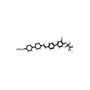 CCCCCC1CCC(C2CCC(C=Cc3ccc(-c4ccc(OC(F)(F)C(F)C(F)(F)F)c(F)c4)cc3)CC2)CC1